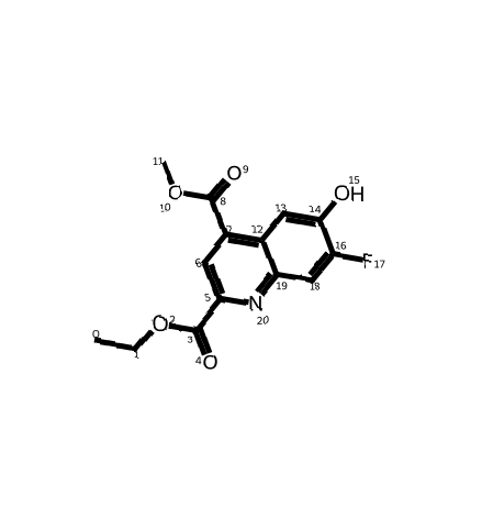 CCOC(=O)c1cc(C(=O)OC)c2cc(O)c(F)cc2n1